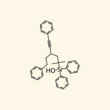 CC(C)(CC(C#Cc1ccccc1)CCc1ccccc1)[Si](O)(c1ccccc1)c1ccccc1